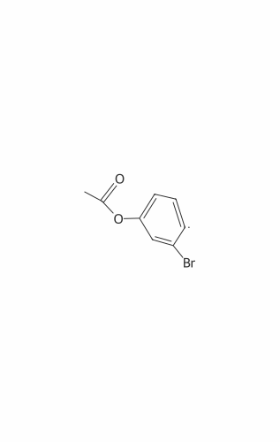 CC(=O)Oc1cc[c]c(Br)c1